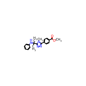 COC(=O)c1ccc(-c2nnc(C(C)(C)Nc3ccccc3)n2C)cc1